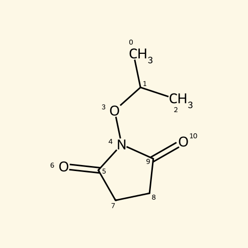 CC(C)ON1C(=O)CCC1=O